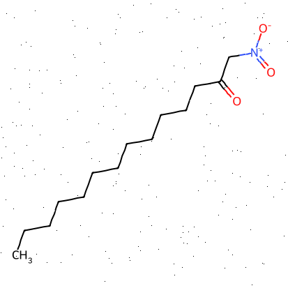 CCCCCCCCCCCCC(=O)C[N+](=O)[O-]